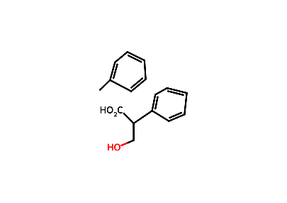 Cc1ccccc1.O=C(O)C(CO)c1ccccc1